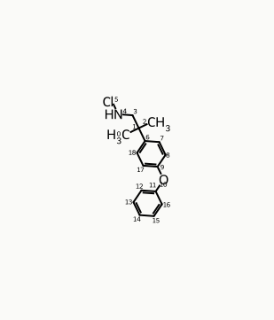 CC(C)(CNCl)c1ccc(Oc2ccccc2)cc1